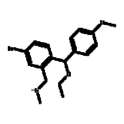 CCOC(c1ccc(OC)cc1)c1ccc(Br)cc1CNC